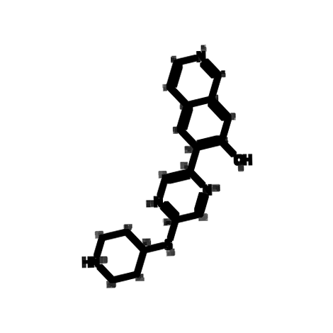 Oc1cc2cnccc2cc1-c1cnc(SC2CCNCC2)cn1